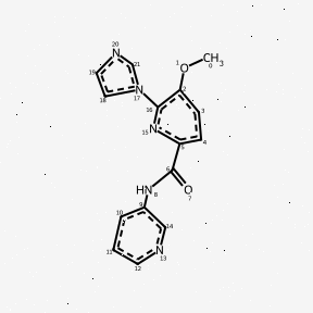 COc1ccc(C(=O)Nc2cccnc2)nc1-n1ccnc1